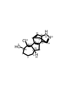 O[C@@H]1CCC[C@H]2CC3=C(C4=CC5NN=C(C4)C35)C2=C1Cl